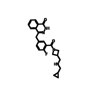 O=C(c1cc(Cc2n[nH]c(=O)c3ccccc23)ccc1F)N1CC(CNCC2CC2)C1